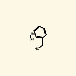 CCCCO.OCc1ccccc1